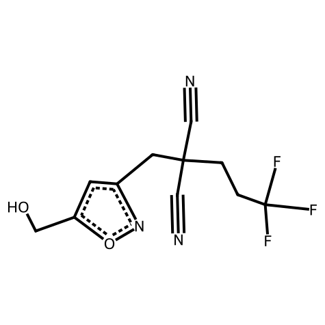 N#CC(C#N)(CCC(F)(F)F)Cc1cc(CO)on1